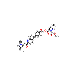 C[C@H]1C[C@@H](C(=O)OCC(=O)c2ccc(-c3ccc4nc(C(=O)C[C@@H]5C[C@H](C)CN5C(C)(C)C)ccc4c3)cc2)N(C(=O)OC(C)(C)C)C1